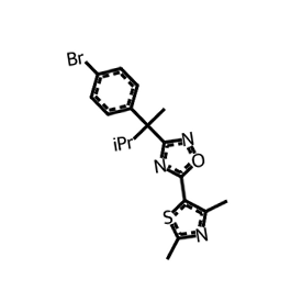 Cc1nc(C)c(-c2nc(C(C)(c3ccc(Br)cc3)C(C)C)no2)s1